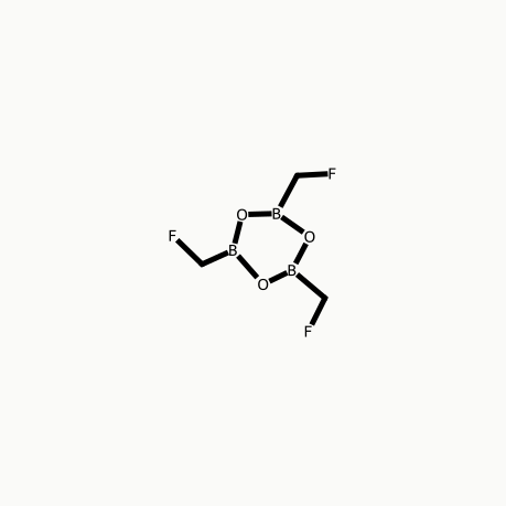 FCB1OB(CF)OB(CF)O1